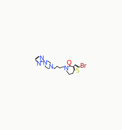 O=C1c2cc(Br)sc2CCCN1CCCCN1CCN(c2ncccn2)CC1